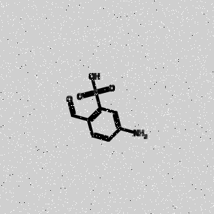 Nc1ccc(C=O)c(S(=O)(=O)O)c1